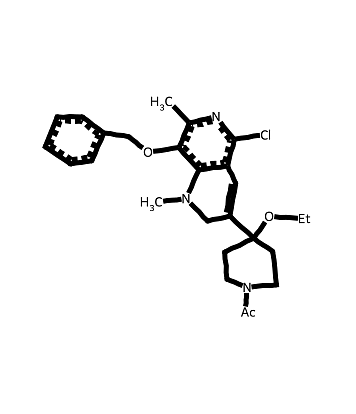 CCOC1(C2=Cc3c(Cl)nc(C)c(OCc4ccccc4)c3N(C)C2)CCN(C(C)=O)CC1